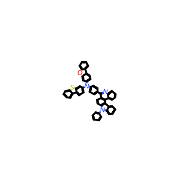 c1ccc(-n2c3ccccc3c3c4c(ccc32)c(-c2ccc(N(c3ccc5c(c3)oc3ccccc35)c3ccc5c(c3)sc3ccccc35)cc2)nc2ccccc24)cc1